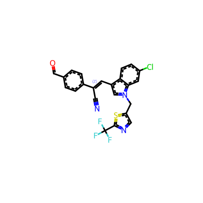 N#C/C(=C\c1cn(Cc2cnc(C(F)(F)F)s2)c2cc(Cl)ccc12)c1ccc(C=O)cc1